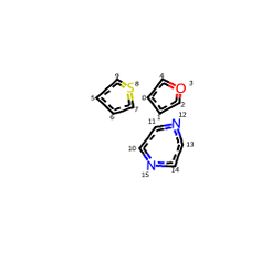 c1ccoc1.c1ccsc1.c1cnccn1